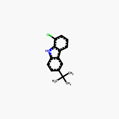 CC(C)(C)c1ccc2[nH]c3c(Cl)cccc3c2c1